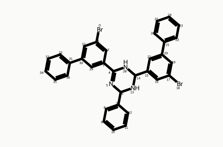 Brc1cc(C2=NC(c3ccccc3)NC(c3cc(Br)cc(-c4ccccc4)c3)N2)cc(-c2ccccc2)c1